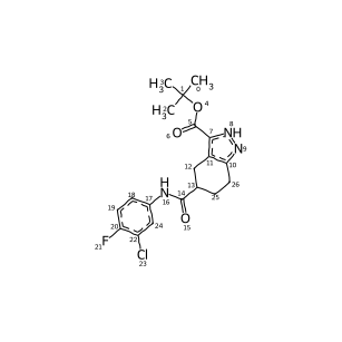 CC(C)(C)OC(=O)c1[nH]nc2c1CC(C(=O)Nc1ccc(F)c(Cl)c1)CC2